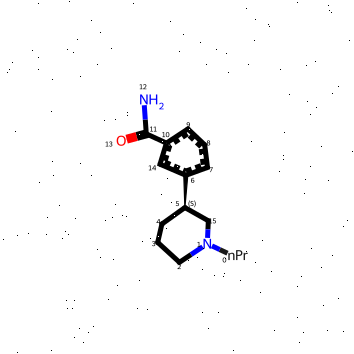 CCCN1CCC[C@@H](c2cccc(C(N)=O)c2)C1